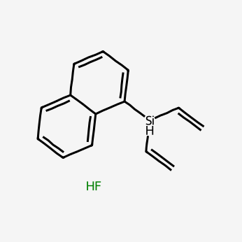 C=C[SiH](C=C)c1cccc2ccccc12.F